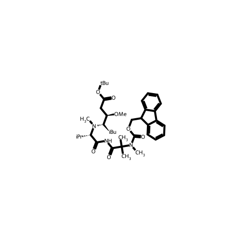 CC[C@H](C)[C@@H]([C@@H](CC(=O)OC(C)(C)C)OC)N(C)[C@H](C(=O)NC(=O)C(C)(C)N(C)C(=O)OCC1c2ccccc2-c2ccccc21)C(C)C